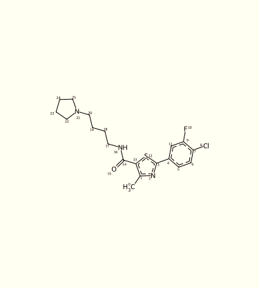 Cc1nc(-c2ccc(Cl)c(F)c2)sc1C(=O)NCCCCN1CCCC1